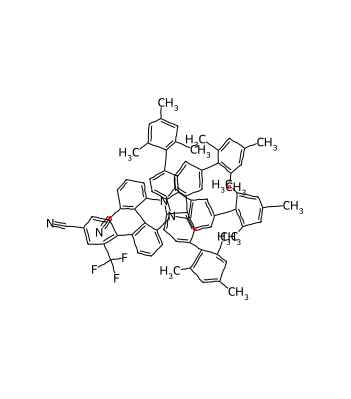 Cc1cc(C)c(-c2ccc3c(c2)c2cc(-c4c(C)cc(C)cc4C)ccc2n3-c2cccc(C#N)c2-c2c(-c3ccc(C#N)cc3C(F)(F)F)cccc2-n2c3ccc(-c4c(C)cc(C)cc4C)cc3c3cc(-c4c(C)cc(C)cc4C)ccc32)c(C)c1